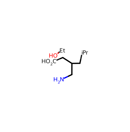 CC(C)CC(CN)CC(=O)O.CCO